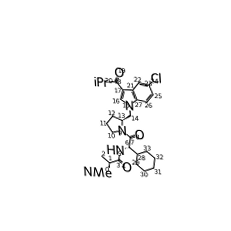 CN[C@@H](C)C(=O)N[C@H](C(=O)N1CCC[C@H]1Cn1cc(C(=O)C(C)C)c2cc(Cl)ccc21)C1CCCCC1